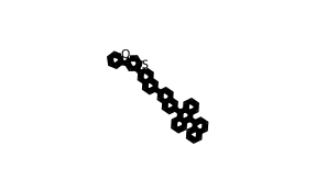 c1ccc2c(-c3c4ccccc4c(-c4ccc5cc(-c6ccc7cc8c(cc7c6)sc6cc7oc9ccccc9c7cc68)ccc5c4)c4ccccc34)cccc2c1